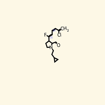 C=C(Cl)/C=C\C=C(/F)C1CCN(CCC2CC2)C1C=O